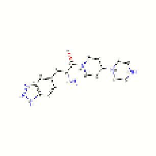 NC(Cc1ccc2[nH]nnc2c1)C(=O)N1CCC(N2CCNCC2)CC1